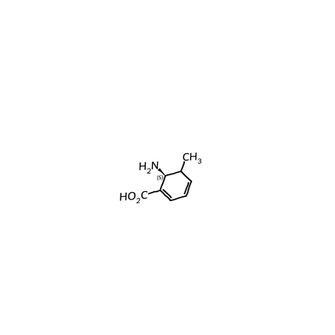 CC1C=CC=C(C(=O)O)[C@H]1N